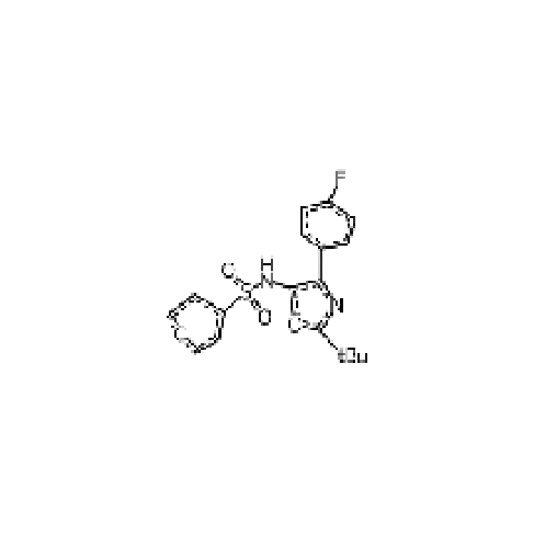 CC(C)(C)c1nc(-c2ccc(F)cc2)c(NS(=O)(=O)c2ccccc2)o1